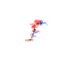 C[C@@H](CO)C(=O)SCCNC(=O)CCNC(=O)C(O)C(C)(C)COP(=O)(O)OP(=O)(O)OC[C@H]1O[C@@H](n2cnc3c(N)ncnc32)[C@H](O)[C@@H]1OP(=O)(O)O